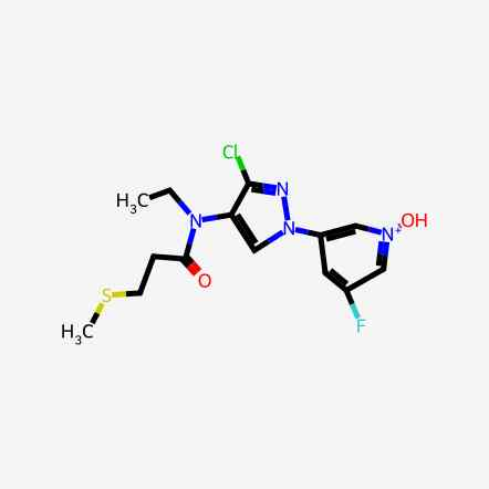 CCN(C(=O)CCSC)c1cn(-c2cc(F)c[n+](O)c2)nc1Cl